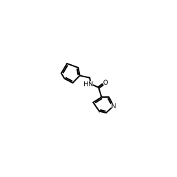 O=C(NCc1ccccc1)c1c[c]cnc1